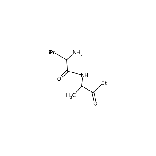 CCC(=O)C(C)NC(=O)C(N)C(C)C